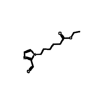 CCOC(=O)CCCCCn1ccnc1C=O